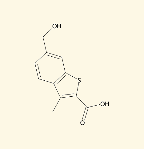 Cc1c(C(=O)O)sc2cc(CO)ccc12